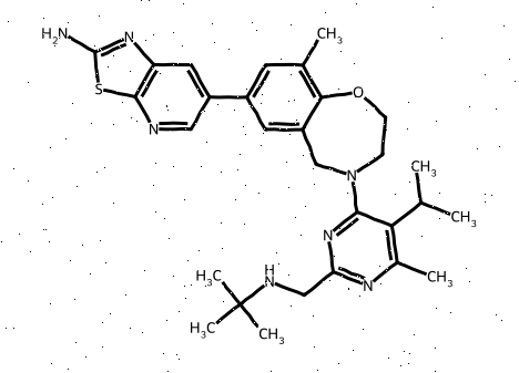 Cc1cc(-c2cnc3sc(N)nc3c2)cc2c1OCCN(c1nc(CNC(C)(C)C)nc(C)c1C(C)C)C2